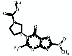 C[S+]([O-])c1nc2c(=O)n([C@H]3CCN(C(=O)OC(C)(C)C)C3)c(C(F)(F)F)nc2s1